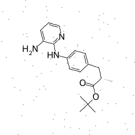 C[C@@H](Cc1ccc(Nc2ncccc2N)cc1)C(=O)OC(C)(C)C